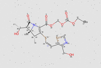 C[C@@H](O)[C@H]1C(=O)N2C(C(=O)OCOC(=O)OCC(C)(C)C)=C(S/C=C\c3scnc3CO)[C@H](C)[C@H]12